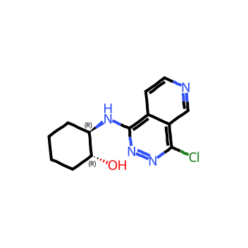 O[C@@H]1CCCC[C@H]1Nc1nnc(Cl)c2cnccc12